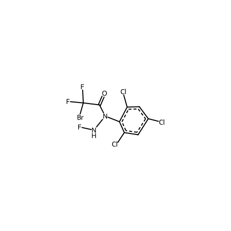 O=C(N(NF)c1c(Cl)cc(Cl)cc1Cl)C(F)(F)Br